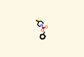 O=C(OCc1ccccc1)N1CCC2(CC1)CS2